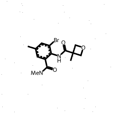 CNC(=O)c1cc(C)cc(Br)c1NC(=O)C1(C)COC1